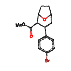 COC(=O)C1C2CCC(CC1c1ccc(Br)cc1)O2